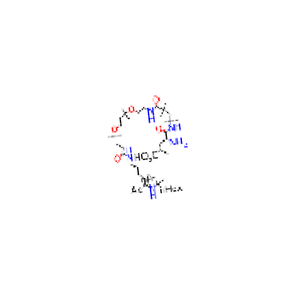 CCCCCCC(C)(CCC)N[C@@H](CCCCNC(=O)CCC(C)(C)OCCC(C)(C)OCCNC(=O)C(C)(C)CC(C)(C)NC(=O)C(N)CC(C)C(=O)O)C(C)=O